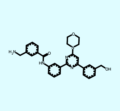 NCc1cccc(C(=O)Nc2cccc(-c3nc(-c4cccc(CO)c4)cc(N4CCOCC4)n3)c2)c1